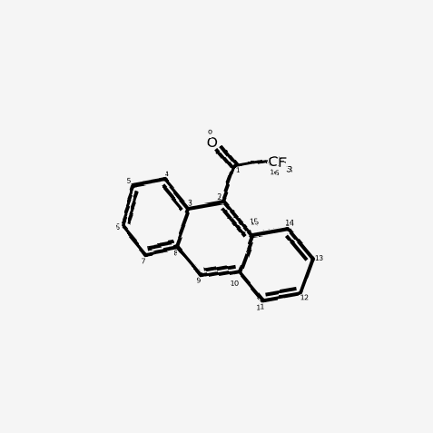 O=C(c1c2ccccc2cc2ccccc12)C(F)(F)F